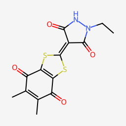 CCN1NC(=O)C(=C2SC3=C(S2)C(=O)C(C)=C(C)C3=O)C1=O